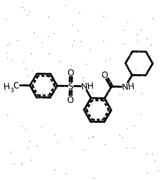 Cc1ccc(S(=O)(=O)Nc2ccccc2C(=O)NC2CCCCC2)cc1